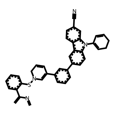 C=NC(=C)c1ccccc1SN1C=C(c2cccc(-c3ccc4c(c3)c3ccc(C#N)cc3n4C3=CCCC=C3)c2)C=CC1